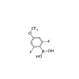 OB(O)c1c(F)cc(OC(F)(F)F)cc1F